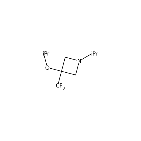 CC(C)OC1(C(F)(F)F)CN(C(C)C)C1